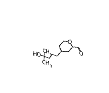 CC(C)(O)CCCC1CCOC(C=O)C1